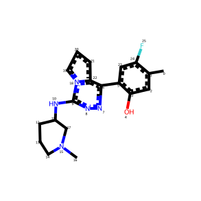 Cc1cc(O)c(-c2nnc(NC3CCCN(C)C3)n3cccc23)cc1F